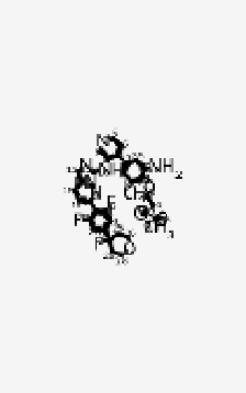 C[C@H]1C[C@@H](c2ccncc2Nc2ncc3ccc(-c4c(F)cc(C5(F)CCOCC5)cc4F)nn23)C[C@@H](N)[C@H]1OCCS(C)(=O)=O